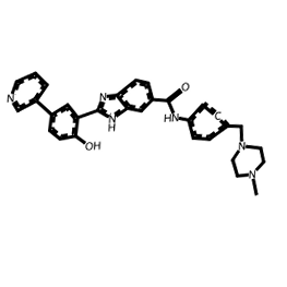 CN1CCN(Cc2ccc(NC(=O)c3ccc4nc(-c5cc(-c6cccnc6)ccc5O)[nH]c4c3)cc2)CC1